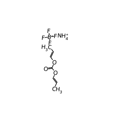 CC=COC(=O)OC=CC.F[B-](F)(F)F.[NH4+]